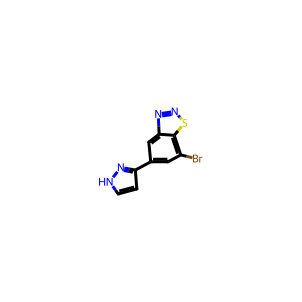 Brc1cc(-c2cc[nH]n2)cc2nnsc12